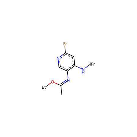 CCOC(C)=Nc1cnc(Br)cc1NC(C)C